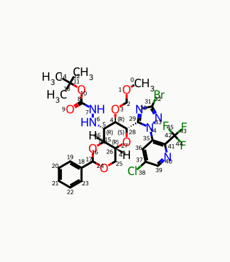 COCO[C@@H]1[C@@H](NNC(=O)OC(C)(C)C)[C@H]2OC(c3ccccc3)OC[C@H]2O[C@H]1c1nc(Br)nn1-c1cc(Cl)cnc1C(F)(F)F